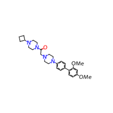 COc1ccc(-c2ccc(N3CCN(CC(=O)N4CCN(C5CCC5)CC4)CC3)cc2)c(OC)c1